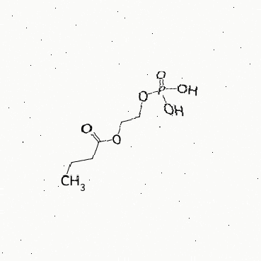 CCCC(=O)OCCOP(=O)(O)O